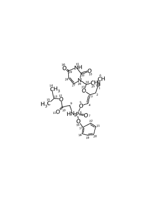 C#CC/C(=C/OP(=O)(NCC(=O)OC(C)C)Oc1ccccc1)OC(C)n1ccc(=O)[nH]c1=O